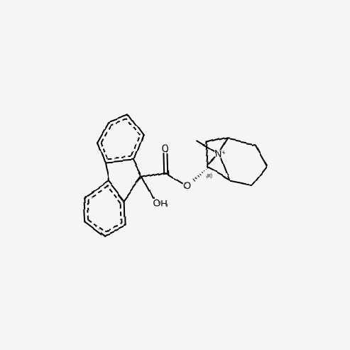 C[N+]1(C)C2CCCC1[C@H](OC(=O)C1(O)c3ccccc3-c3ccccc31)C2